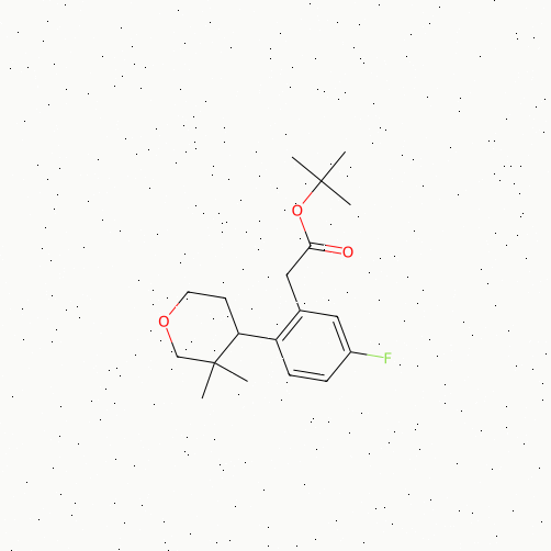 CC(C)(C)OC(=O)Cc1cc(F)ccc1C1CCOCC1(C)C